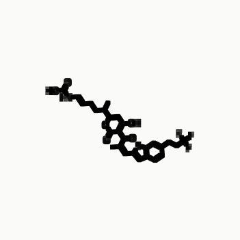 CC(=Cc1cc2ccc(CCC(F)(F)F)cc2s1)C(=O)c1c(O)cc(C(C)CC/C=C/NC(=O)O)oc1=O